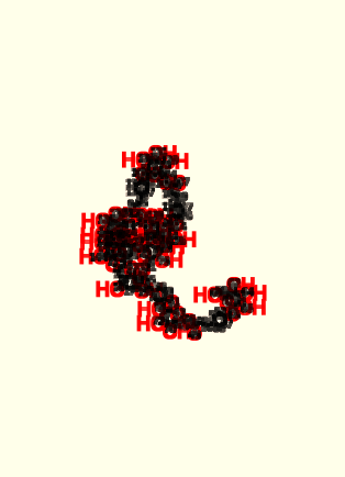 O=C(O)CC(=O)OC[C@H]1O[C@@H](Oc2cc3c(O)cc(O)cc3[o+]c2-c2cc(O[C@@H]3O[C@H](COC(=O)/C=C/c4ccc(O[C@@H]5O[C@H](COC(=O)/C=C/c6ccc(O[C@@H]7O[C@H](CO)[C@@H](O)[C@H](O)[C@H]7O)cc6)[C@@H](O)[C@H](O)[C@H]5O)cc4)[C@@H](O)[C@H](O)[C@H]3O)c(O)c(O[C@@H]3O[C@H](COC(=O)/C=C/c4ccc(O[C@@H]5O[C@H](COC(=O)/C=C/c6ccc(O[C@@H]7O[C@H](CO)[C@@H](O)[C@H](O)[C@H]7O)cc6)[C@@H](O)[C@H](O)[C@H]5O)cc4)[C@@H](O)[C@H](O)[C@H]3O)c2)[C@H](O)[C@@H](O)[C@@H]1O